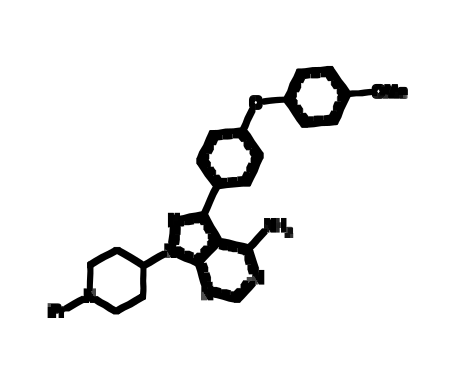 COc1ccc(Oc2ccc(-c3nn(C4CCN(C(C)C)CC4)c4ncnc(N)c34)cc2)cc1